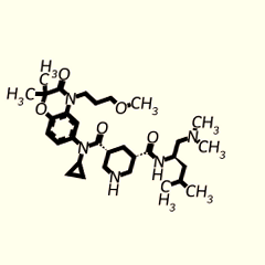 COCCCN1C(=O)C(C)(C)Oc2ccc(N(C(=O)[C@H]3CNC[C@@H](C(=O)N[C@H](CC(C)C)CN(C)C)C3)C3CC3)cc21